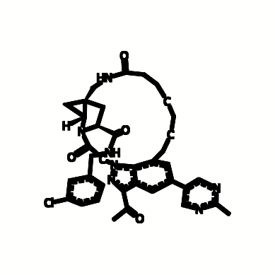 CC(=O)c1nn2c3c(cc(-c4cnc(C)nc4)cc13)CCCCCCC(=O)NC[C@@]13C[C@@H](C(=O)NCc4cccc(Cl)c4)N(C(=O)C2)[C@@H]1C3